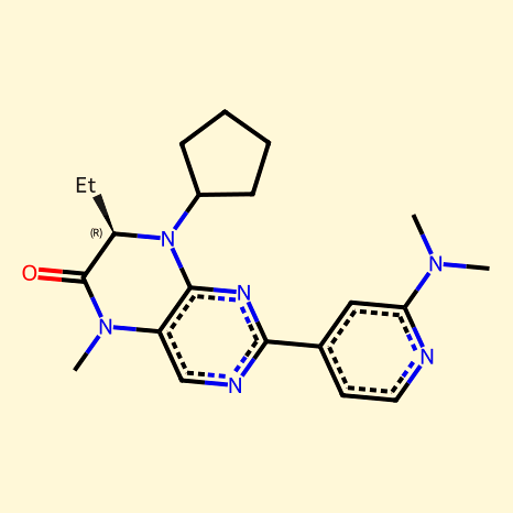 CC[C@@H]1C(=O)N(C)c2cnc(-c3ccnc(N(C)C)c3)nc2N1C1CCCC1